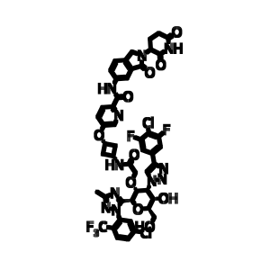 Cc1nc([C@@H]2O[C@H](CO)[C@H](O)[C@H](n3cc(-c4cc(F)c(Cl)c(F)c4)nn3)[C@H]2OCC(=O)N[C@H]2C[C@@H](Oc3ccc(C(=O)Nc4ccc5c(c4)C(=O)N(C4CCC(=O)NC4=O)C5)nc3)C2)n(-c2cc(Cl)ccc2C(F)(F)F)n1